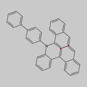 c1ccc(-c2ccc(N(c3ccccc3-c3cccc4ccccc34)c3cccc4ccccc34)cc2)cc1